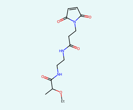 CCOC(C)C(=O)NCCNC(=O)CCN1C(=O)C=CC1=O